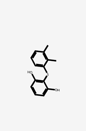 Cc1cccc(Sc2c(O)cccc2O)c1C